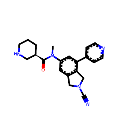 CN(C(=O)[C@@H]1CCCNC1)c1cc2c(c(-c3ccncc3)c1)CN(C#N)C2